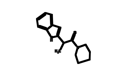 C[C](C(=O)N1CCCCC1)c1cc2ccccc2[nH]1